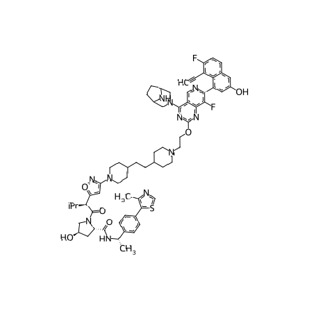 C#Cc1c(F)ccc2cc(O)cc(-c3ncc4c(N5CC6CCC(C5)N6)nc(OCCN5CCC(CCC6CCN(c7cc([C@@H](C(=O)N8C[C@H](O)C[C@H]8C(=O)N[C@@H](C)c8ccc(-c9scnc9C)cc8)C(C)C)on7)CC6)CC5)nc4c3F)c12